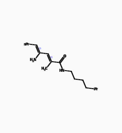 CCC/C=C(N)/C=C(\C)C(=O)NCCCCC(C)C